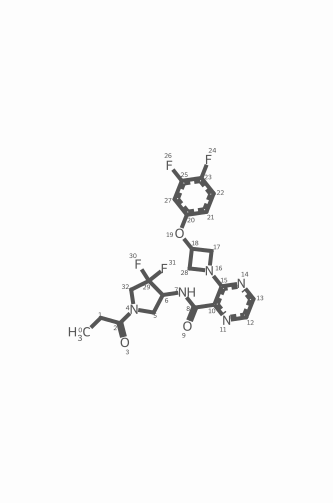 CCC(=O)N1CC(NC(=O)c2nccnc2N2CC(Oc3ccc(F)c(F)c3)C2)C(F)(F)C1